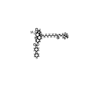 C[C@]12CC[C@@H]3c4ccc(OC(=O)N5CCC(N6CCCCC6)CC5)cc4C[C@@H](CCCCCCCCC[S+]([O-])CCCC(F)(F)C(F)(F)F)[C@H]3[C@@H]1CCC2=O